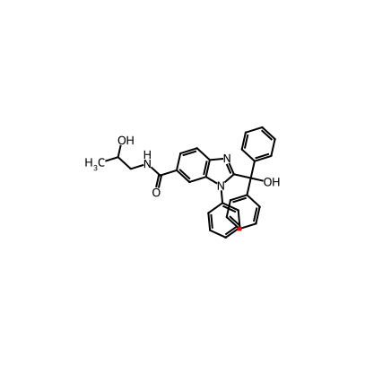 CC(O)CNC(=O)c1ccc2nc(C(O)(c3ccccc3)c3ccccc3)n(-c3ccccc3)c2c1